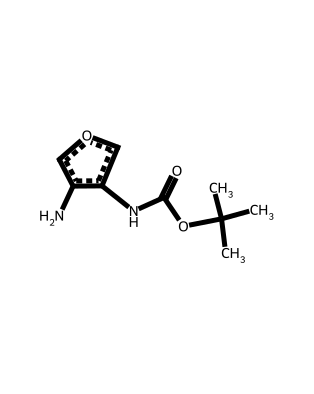 CC(C)(C)OC(=O)Nc1cocc1N